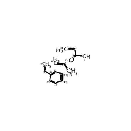 C=CC.C=CC(=O)O.C=Cc1ccccc1